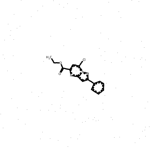 CCOC(=O)c1cc(Cl)n2nc(-c3ccccc3)cc2n1